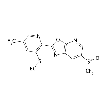 CCSc1cc(C(F)(F)F)cnc1-c1nc2cc([S+]([O-])C(F)(F)F)cnc2o1